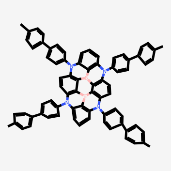 Cc1ccc(-c2ccc(N3c4cccc5c4B4c6c3ccc3c6B6c7c(cccc7N(c7ccc(-c8ccc(C)cc8)cc7)c7ccc(c4c76)N5c4ccc(-c5ccc(C)cc5)cc4)N3c3ccc(-c4ccc(C)cc4)cc3)cc2)cc1